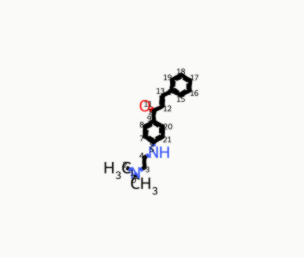 CN(C)CCNc1ccc(C(=O)C=Cc2ccccc2)cc1